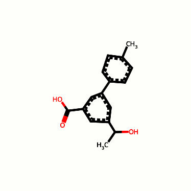 Cc1ccc(-c2cc(C(=O)O)cc(C(C)O)c2)cc1